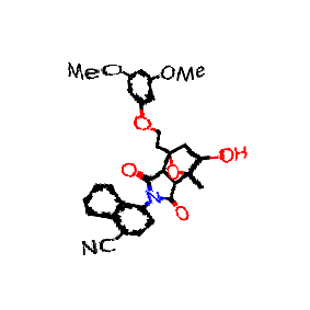 COc1cc(OC)cc(OCCC23CC(O)C(C)(O2)C2C(=O)N(c4ccc(C#N)c5ccccc45)C(=O)C23)c1